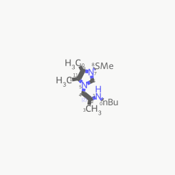 CCCCN/C(C)=C\N1CN(SC)C(C)=C1C